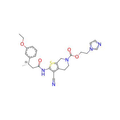 CCOc1cccc([C@@H](C)CC(=O)Nc2sc3c(c2C#N)CCN(C(=O)OCCn2ccnc2)C3)c1